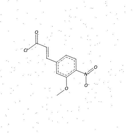 COc1cc(/C=C/C(=O)Cl)ccc1[N+](=O)[O-]